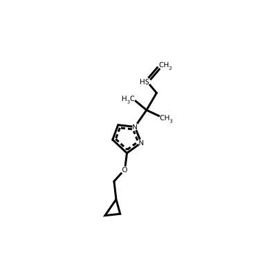 C=[SH]CC(C)(C)n1ccc(OCC2CC2)n1